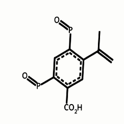 C=C(C)c1cc(C(=O)O)c(P=O)cc1P=O